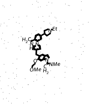 C=C(Nc1cc(Cc2cc3ccn(C(=C)NC)c3cc2OCCOC)ccn1)c1ccc(C2CCN(CC)CC2)cc1